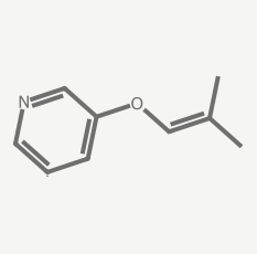 CC(C)=COc1c[c]cnc1